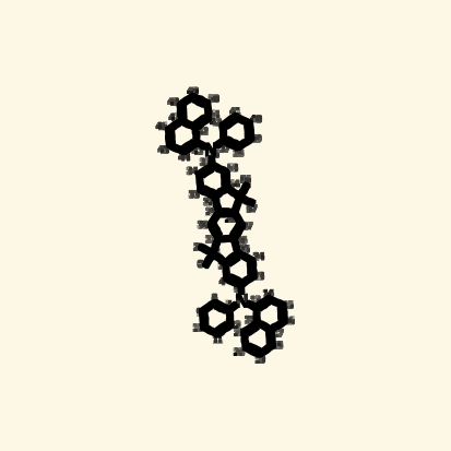 CC1(C)c2cc(N(c3ccccc3)c3cccc4ccccc34)ccc2-c2cc3c(cc21)-c1ccc(N(c2ccccc2)c2cccc4ccccc24)cc1C3(C)C